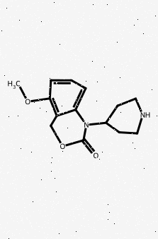 COc1cccc2c1COC(=O)N2C1CCNCC1